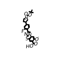 COc1cc2c(cc1C(=O)O)sc1nc(-c3ccc(C4CCN(C(=O)OC(C)(C)C)C4)cc3F)cn12